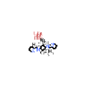 Br.Br.Br.Br.Cc1c(C)c(N=Cc2ccccn2)c(C)c(C)c1N=Cc1ccccn1.[Ni].[Ni]